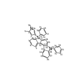 Cc1cc([Si](c2ccccc2)(c2ccccc2)c2ccc3c(c2)c2ccccc2n3-c2ccccc2)cn1C